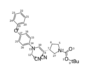 CC(C)(C)OC(=O)N1CC[C@@H](/C(C#N)=C/N(CC#N)c2ccc(Oc3ccccc3)cc2)C1